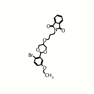 CCOc1ccc(Br)c(C2OCC(OCCCN3C(=O)c4ccccc4C3=O)CO2)c1